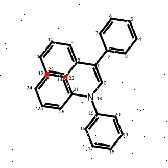 C(=C(c1ccccc1)c1ccccc1)N(c1ccccc1)c1ccccc1